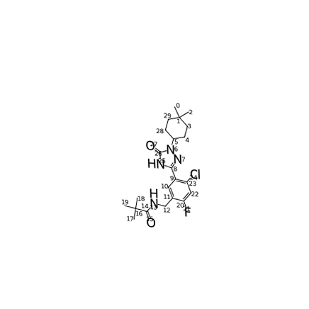 CC1(C)CCC(n2nc(-c3cc(CNC(=O)C(C)(C)C)c(F)cc3Cl)[nH]c2=O)CC1